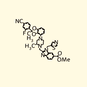 COC(=O)c1ccc2nc(CN3CCN(c4cccc5c4OC(C)(c4ccc(C#N)cc4F)O5)CC3C)n(Cc3cncs3)c2c1